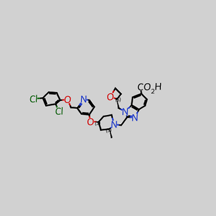 C[C@H]1C[C@@H](Oc2ccnc(COc3ccc(Cl)cc3Cl)c2)CCN1Cc1nc2ccc(C(=O)O)cc2n1C[C@@H]1CCO1